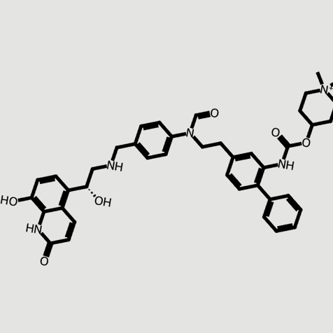 C[N+]1(C)CCC(OC(=O)Nc2cc(CCN(C=O)c3ccc(CNC[C@H](O)c4ccc(O)c5[nH]c(=O)ccc45)cc3)ccc2-c2ccccc2)CC1